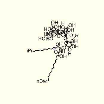 CCCCCCCCCCCCCCCCCCCCCC[C@@H](O)C(=O)N[C@@H](CO[C@@H]1O[C@H](CO[C@]2(C(=O)O)C[C@H](O[C@]3(C(=O)O)C[C@H](O)[C@@H](NC(=O)CO)[C@H]([C@H](O)[C@H](O)CO)O3)[C@@H](NC(C)=O)[C@H]([C@H](O)[C@H](O)CO)O2)[C@@H](O)[C@H](O)[C@H]1O)[C@H](O)/C=C/CCCCCCCCCC(C)C